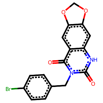 O=c1[nH]c2cc3c(cc2c(=O)n1Cc1ccc(Br)cc1)OCO3